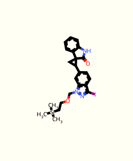 C[Si](C)(C)CCOCn1nc(I)c2ccc(C3CC34C(=O)Nc3ccccc34)cc21